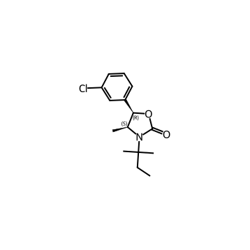 CCC(C)(C)N1C(=O)O[C@H](c2cccc(Cl)c2)[C@@H]1C